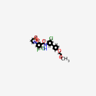 COCCOc1ccc(-c2cc(Cl)cc(NC(=O)c3cc(N4CCCS4(=O)=O)cc(F)c3Cl)c2)cc1